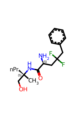 CCC[C@@](C)(CO)NC(=O)[C@@H](N)CC(F)(F)Cc1ccccc1